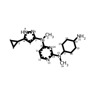 CN(c1cc(C2CC2)[nH]n1)c1ccnc(N(C)C2CCC(N)CC2)n1